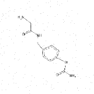 NCC(=O)NCc1ccc(OC(N)=O)cc1